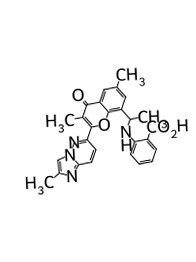 Cc1cc(C(C)Nc2ccccc2C(=O)O)c2oc(-c3ccc4nc(C)cn4n3)c(C)c(=O)c2c1